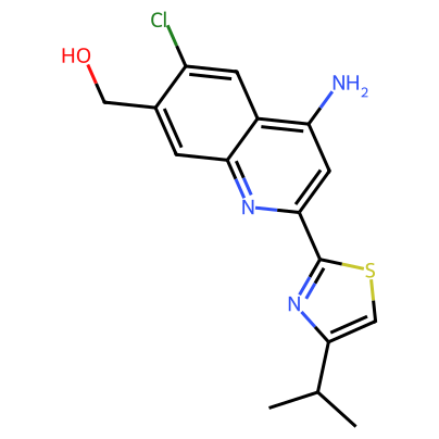 CC(C)c1csc(-c2cc(N)c3cc(Cl)c(CO)cc3n2)n1